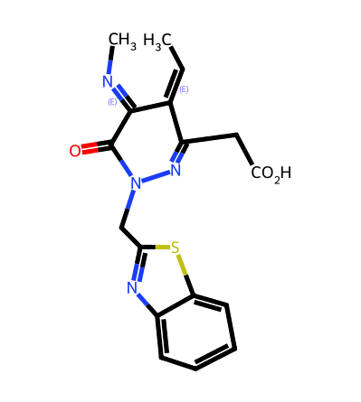 C/C=C1/C(CC(=O)O)=NN(Cc2nc3ccccc3s2)C(=O)/C1=N/C